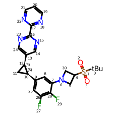 CC(C)(C)S(=O)(=O)C1CN(c2cc([C@H]3C[C@H]3c3cnc(-c4ncccn4)nc3)cc(F)c2F)C1